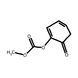 COC(=O)OC1=CC=CCC1=O